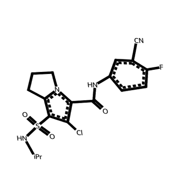 CC(C)NS(=O)(=O)c1c(Cl)c(C(=O)Nc2ccc(F)c(C#N)c2)n2c1CCC2